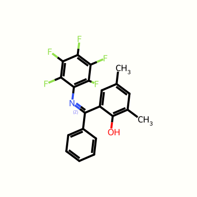 Cc1cc(C)c(O)c(/C(=N\c2c(F)c(F)c(F)c(F)c2F)c2ccccc2)c1